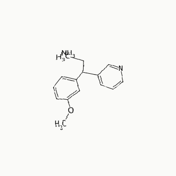 CCC(c1cccnc1)c1cccc(OC)c1.N